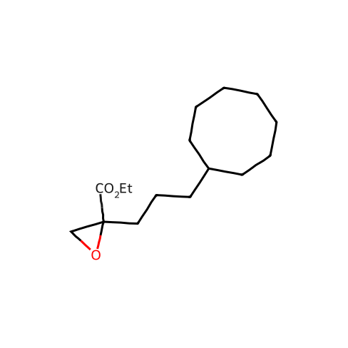 CCOC(=O)C1(CCCC2CCCCCCC2)CO1